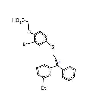 CCc1cccc(/C(=C\CSc2ccc(OCC(=O)O)c(Br)c2)c2ccccc2)c1